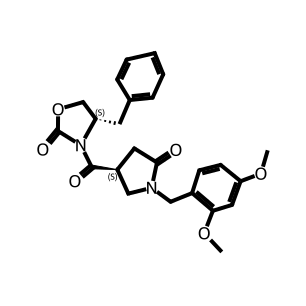 COc1ccc(CN2C[C@@H](C(=O)N3C(=O)OC[C@@H]3Cc3ccccc3)CC2=O)c(OC)c1